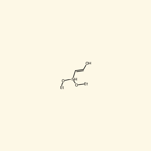 CCO[SiH](C=CO)OCC